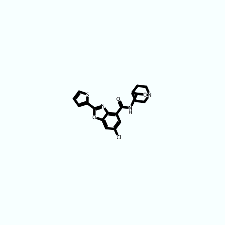 O=C(NC1CN2CCC1CC2)c1cc(Cl)cc2oc(-c3cccs3)nc12